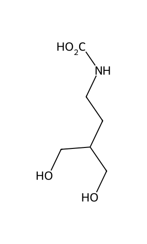 O=C(O)NCCC(CO)CO